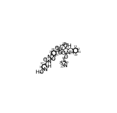 CC(C)CN(CC(O)C(Cc1ccccc1)NC(=O)OCc1cncs1)S(=O)(=O)c1ccc2nc(NC(=O)c3ccc(O)nc3)oc2c1